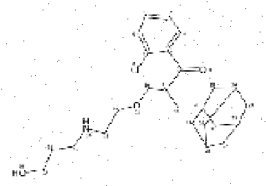 O=C(c1ccccc1Cl)N(COCCNCCCO)CC12CC3CC(CC(C3)C1)C2